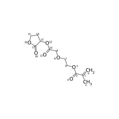 C=C(C)C(=O)OCCOCC(=O)OC1CCOC1=O